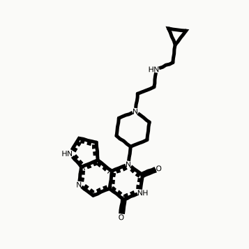 O=c1[nH]c(=O)n(C2CCN(CCNCC3CC3)CC2)c2c1cnc1[nH]ccc12